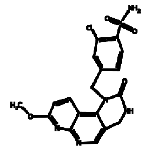 COc1ccc2c3c(cnc2n1)CNC(=O)N3Cc1ccc(S(N)(=O)=O)c(Cl)c1